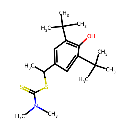 CC(SC(=S)N(C)C)c1cc(C(C)(C)C)c(O)c(C(C)(C)C)c1